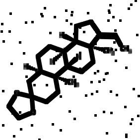 C/C=C1/CC[C@H]2[C@@H]3CC[C@@H]4CC5(CC[C@]4(C)[C@H]3CC[C@]12C)OCCO5